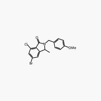 COc1ccc(CN2C(=O)c3c(Cl)cc(Br)cc3C2C)cc1